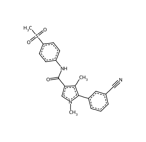 Cc1c(C(=O)Nc2ccc(S(C)(=O)=O)cc2)cn(C)c1-c1cccc(C#N)c1